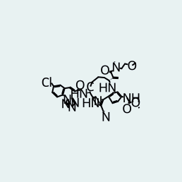 C=C(C(=O)N(C)CCOC)[C@H]1CCCC[C@H](NC(=O)/C=C/c2cc(Cl)ccc2-n2cnnn2)c2nc(c(C#N)[nH]2)-c2ccc(NC(=O)OC)cc2N1